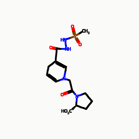 CS(=O)(=O)NNC(=O)C1=CN(CC(=O)N2CCC[C@H]2C(=O)O)C=CC1